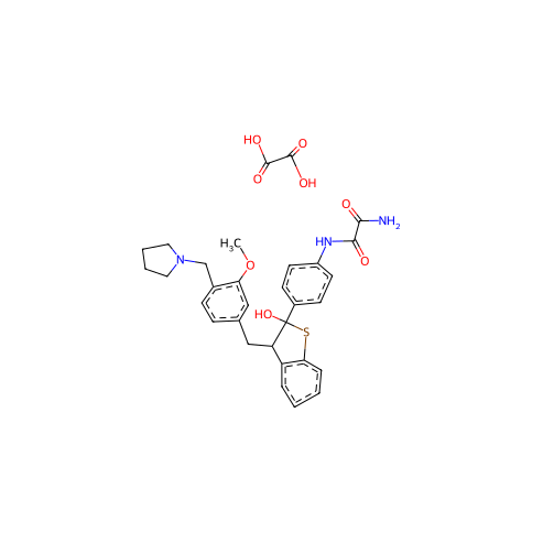 COc1cc(CC2c3ccccc3SC2(O)c2ccc(NC(=O)C(N)=O)cc2)ccc1CN1CCCC1.O=C(O)C(=O)O